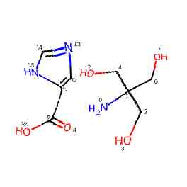 NC(CO)(CO)CO.O=C(O)c1cnc[nH]1